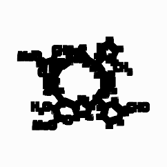 COC(=O)C(C)c1c2nc(c(-c3cccc(C=O)c3)c3ccc([nH]3)c(-c3nccn3C)c3nc(c(C(C)C(=O)OC)c4ccc1[nH]4)C=C3)C=C2